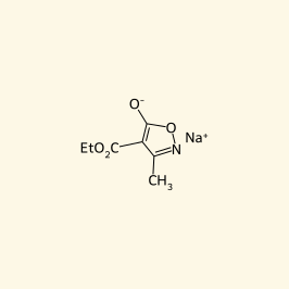 CCOC(=O)c1c(C)noc1[O-].[Na+]